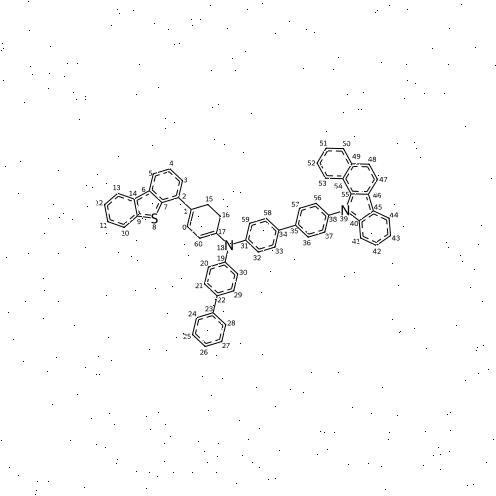 C1=C(c2cccc3c2sc2ccccc23)CCC(N(c2ccc(-c3ccccc3)cc2)c2ccc(-c3ccc(-n4c5ccccc5c5ccc6ccccc6c54)cc3)cc2)=C1